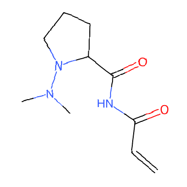 C=CC(=O)NC(=O)C1CCCN1N(C)C